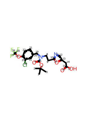 CC(C)(C)OC(=O)N(CCc1ncc(CC(=O)O)o1)Cc1ccc(OC(F)(F)F)c(Cl)c1